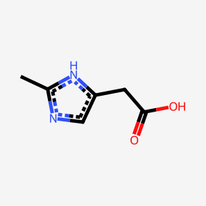 Cc1ncc(CC(=O)O)[nH]1